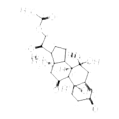 CC(=O)OCC(=O)[C@@]1(O)CC[C@H]2[C@H]3[C@H](C(=O)C[C@@]21C)[C@@]1(C)CCC(=O)C=C1CC3(O)O